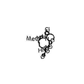 CO[C@H]1/C=C/CCC[S@@](=O)(NC(=O)C2COC2)=NC(=O)c2ccc3c(c2)N(Cc2ccc(Cl)cc2CCCCO3)C[C@@H]2CC[C@H]21